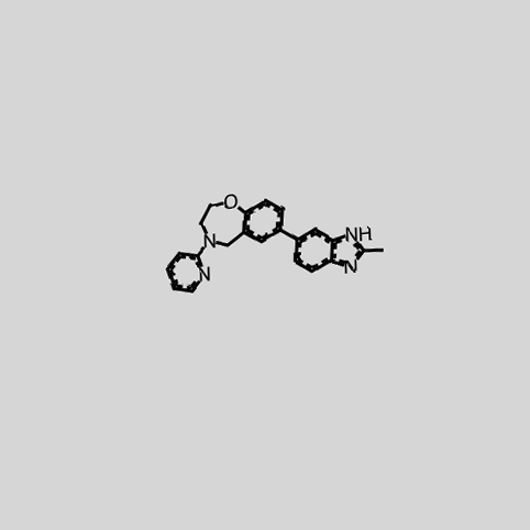 Cc1nc2ccc(-c3ccc4c(c3)CN(c3ccccn3)CCO4)cc2[nH]1